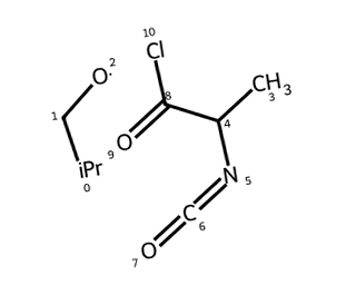 CC(C)C[O].CC(N=C=O)C(=O)Cl